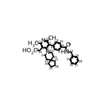 Cc1nc(C)c(-c2ccc(C(=O)NCc3ccccc3)cc2)c(N2CCC3(CCCC3)CC2)c1CC(=O)O